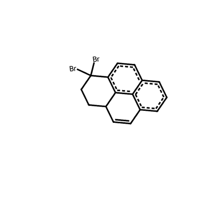 BrC1(Br)CCC2C=Cc3cccc4ccc1c2c34